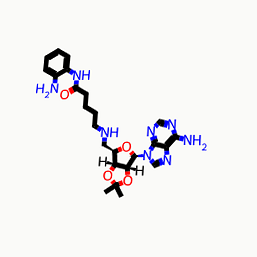 CC1(C)O[C@@H]2[C@H](O1)[C@@H](CNCCCCC(=O)Nc1ccccc1N)O[C@H]2n1cnc2c(N)ncnc21